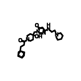 O=C(CCc1ccccc1)N1CCC(O)(Cn2cnc(NCCN3CCCCC3)cc2=O)CC1